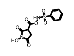 O=C(ONS(=O)(=O)c1ccccc1)C1CC(=O)N(O)C1=O